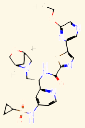 CCOc1cncc(-c2cnc(C(=O)N[C@H](CN3C[C@H]4C[C@@H]3CO4)c3cc(NS(=O)(=O)C4CC4)ccn3)s2)n1